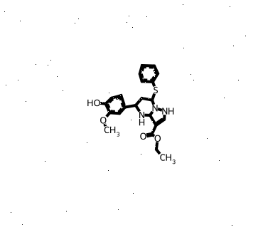 CCOC(=O)C1=CNN2C(Sc3ccccc3)CC(c3ccc(O)c(OC)c3)NC12